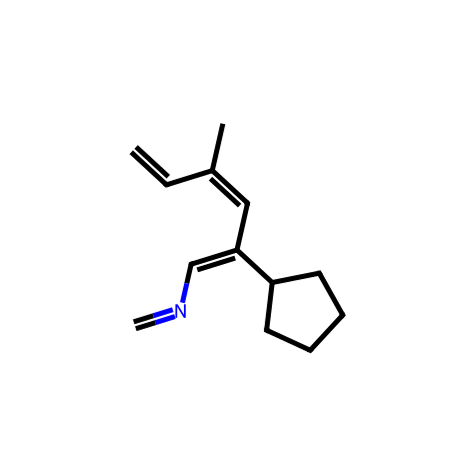 C=C/C(C)=C\C(=C\N=C)C1CCCC1